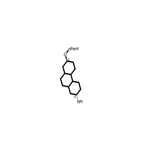 CCCCCO[C@H]1CCC2C(CCC3C[C@@H](CCC)CCC32)C1